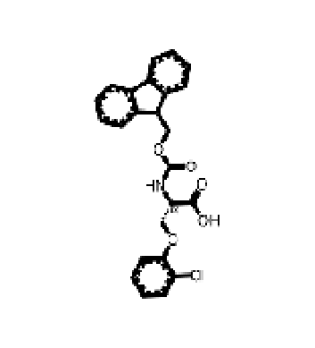 O=C(N[C@@H](COc1ccccc1Cl)C(=O)O)OCC1c2ccccc2-c2ccccc21